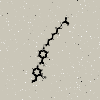 C=Cc1ccc(OC(=O)c2ccc(OCCCCCCOOC(=C)C)cc2)cc1O